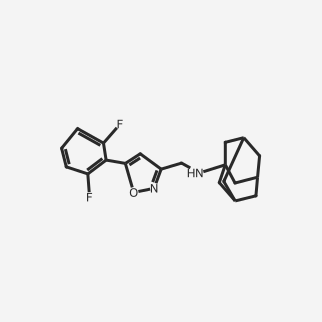 Fc1cccc(F)c1-c1cc(CNC23CC4CC(CC(C4)C2)C3)no1